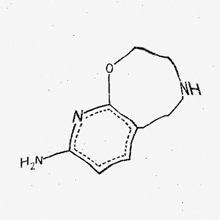 Nc1ccc2c(n1)OCCNC2